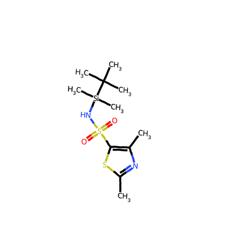 Cc1nc(C)c(S(=O)(=O)N[Si](C)(C)C(C)(C)C)s1